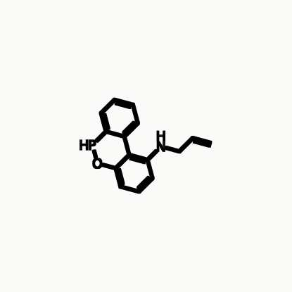 C=CCNc1cccc2c1-c1ccccc1PO2